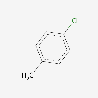 [CH2]c1ccc(Cl)cc1